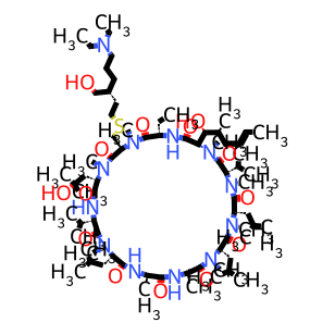 C/C=C/C[C@@H](C)[C@@H](O)[C@H]1C(=O)N[C@@H](CC)C(=O)N(C)[C@H](CSCC[C@H](CO)CCCN(CC)CC)C(=O)N(C)[C@@H](CC(C)(C)O)C(=O)N[C@@H](C(C)C)C(=O)N(C)[C@@H](CC(C)C)C(=O)N[C@@H](C)C(=O)N[C@H](C)C(=O)N(C)[C@@H](CC(C)C)C(=O)N(C)[C@@H](CC(C)C)C(=O)N(C)[C@@H](C(C)C)C(=O)N1C